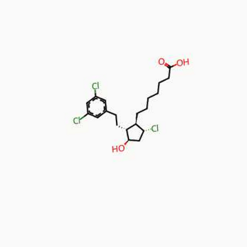 O=C(O)CCCCCC[C@@H]1[C@@H](CCc2cc(Cl)cc(Cl)c2)[C@H](O)C[C@H]1Cl